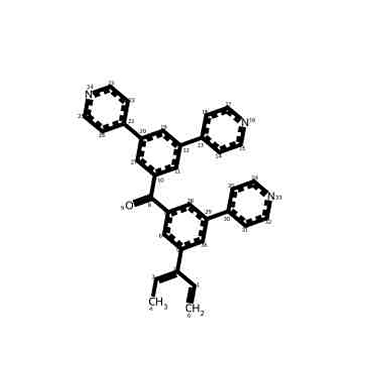 C=C/C(=C\C)c1cc(C(=O)c2cc(-c3ccncc3)cc(-c3ccncc3)c2)cc(-c2ccncc2)c1